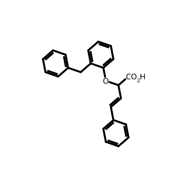 O=C(O)C(C=Cc1ccccc1)Oc1ccccc1Cc1ccccc1